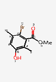 COC(=O)c1c(C)c(O)cc(C)c1Br